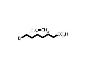 CC.O=C(O)CCCCCCBr